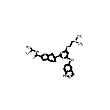 CC(C)NC(=O)c1cc2ccc(-c3nc(Nc4ccc5[nH]ncc5c4)cc(OCCN(C)C)n3)cc2s1